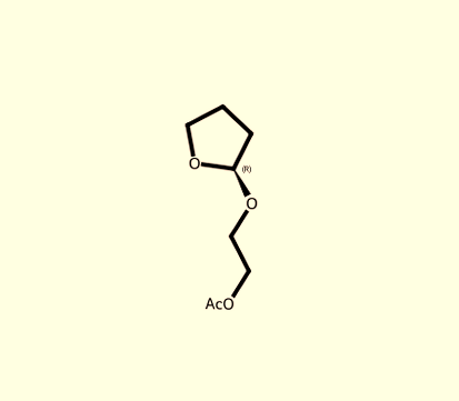 CC(=O)OCCO[C@@H]1CCCO1